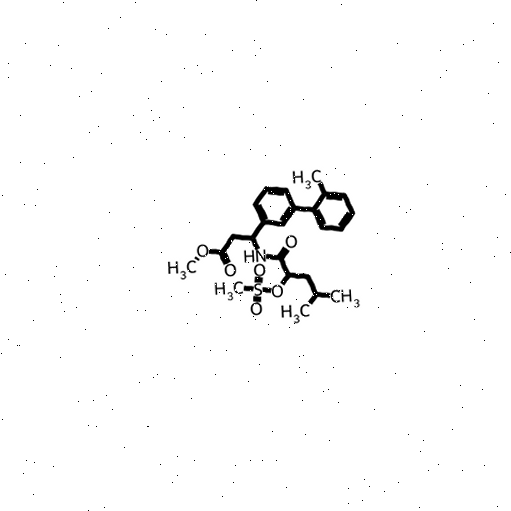 COC(=O)CC(NC(=O)C(CC(C)C)OS(C)(=O)=O)c1cccc(-c2ccccc2C)c1